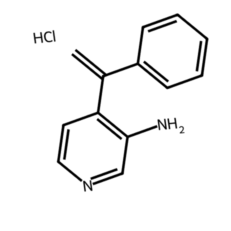 C=C(c1ccccc1)c1ccncc1N.Cl